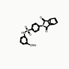 COc1cccc(NS(=O)(=O)c2ccc(N3C(=O)C4C5C=CC(C5)C4C3=O)cc2)c1